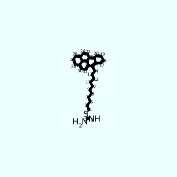 N=C(N)SCCCCCCCCCCCc1c2ccccc2c2ccc3cccc4ccc1c2c43